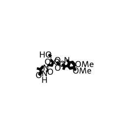 COc1cc(C(C)OC(=O)OC2C[C@H](n3cc(C)c(=O)[nH]c3=O)O[C@@H]2CO)c([N+](=O)[O-])cc1OC